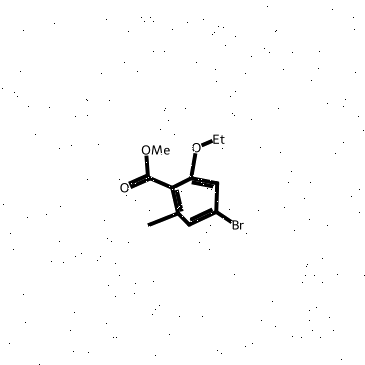 CCOc1cc(Br)cc(C)c1C(=O)OC